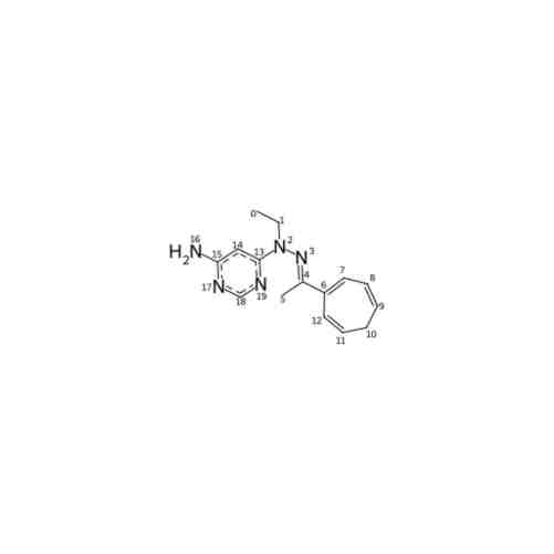 CCN(/N=C(\C)C1=CC=CCC=C1)c1cc(N)ncn1